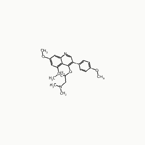 COc1ccc(-c2cnc3cc(OC)cc(OC)c3c2OC(C)CN(C)C)cc1